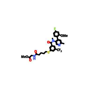 COC(=O)CNC(=O)CCCCSc1cc(C(=O)N(C)c2cnc(C)cc2-c2ccc(F)cc2OC)cc(C(F)(F)F)c1